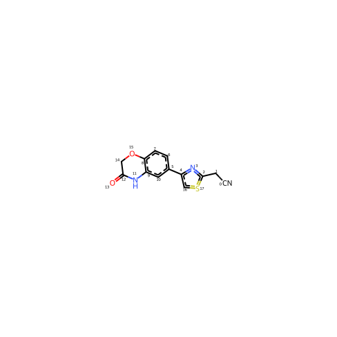 N#CCc1nc(-c2ccc3c(c2)NC(=O)CO3)cs1